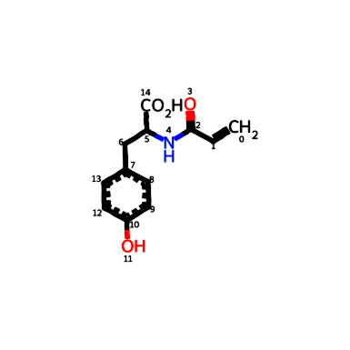 C=CC(=O)NC(Cc1ccc(O)cc1)C(=O)O